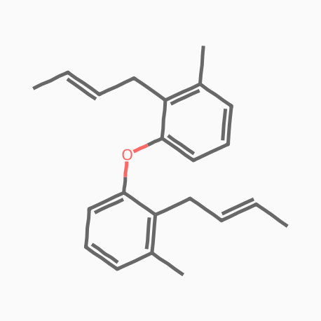 CC=CCc1c(C)cccc1Oc1cccc(C)c1CC=CC